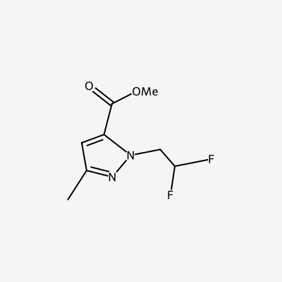 COC(=O)c1cc(C)nn1CC(F)F